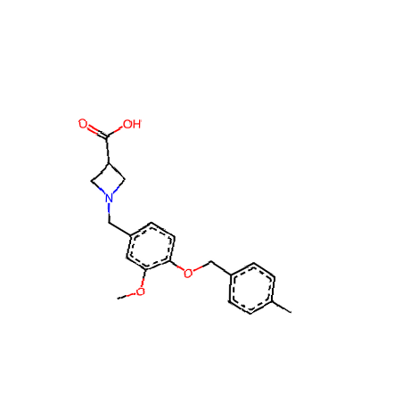 COc1cc(CN2CC(C(=O)O)C2)ccc1OCc1ccc(C)cc1